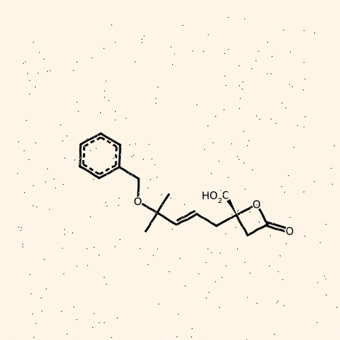 CC(C)(/C=C/C[C@@]1(C(=O)O)CC(=O)O1)OCc1ccccc1